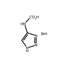 Br.O=C(O)Nc1c[nH]nn1